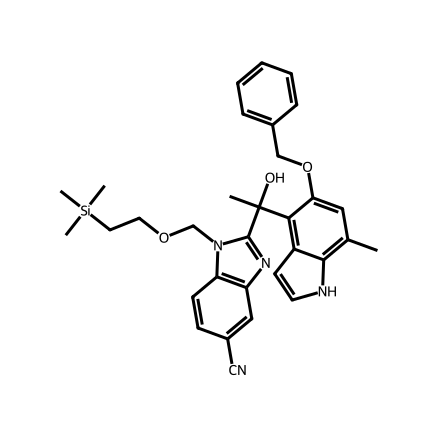 Cc1cc(OCc2ccccc2)c(C(C)(O)c2nc3cc(C#N)ccc3n2COCC[Si](C)(C)C)c2cc[nH]c12